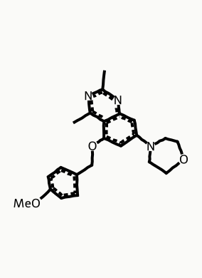 COc1ccc(COc2cc(N3CCOCC3)cc3nc(C)nc(C)c23)cc1